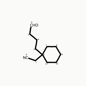 N#CCC1(CCCC=O)CCCCC1